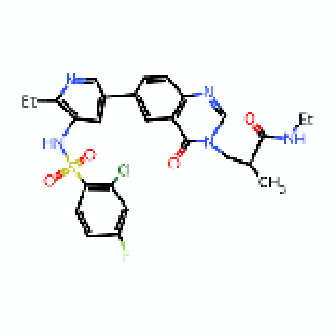 CCNC(=O)C(C)Cn1cnc2ccc(-c3cnc(CC)c(NS(=O)(=O)c4ccc(F)cc4Cl)c3)cc2c1=O